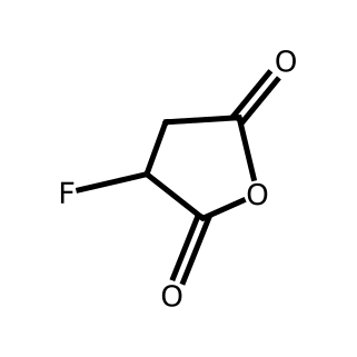 O=C1CC(F)C(=O)O1